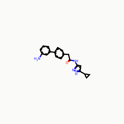 Nc1cccc(-c2ccc(CC(=O)Nc3cc(C4CC4)[nH]n3)cc2)c1